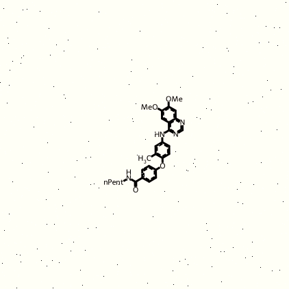 CCCCCNC(=O)c1ccc(Oc2ccc(Nc3ncnc4cc(OC)c(OC)cc34)cc2C)cc1